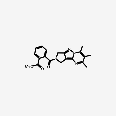 COC(=O)c1ccccc1C(=O)N1Cc2nn3c(C)c(C)c(C)nc3c2C1